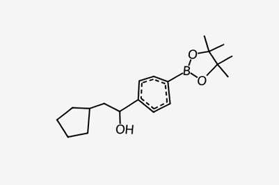 CC1(C)OB(c2ccc(C(O)CC3CCCC3)cc2)OC1(C)C